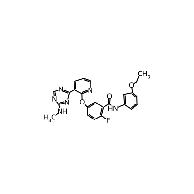 CCOc1cccc(NC(=O)c2cc(Oc3ncccc3-c3ncnc(NC)n3)ccc2F)c1